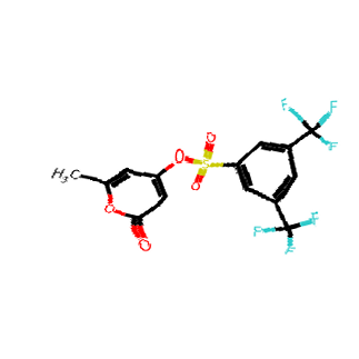 Cc1cc(OS(=O)(=O)c2cc(C(F)(F)F)cc(C(F)(F)F)c2)cc(=O)o1